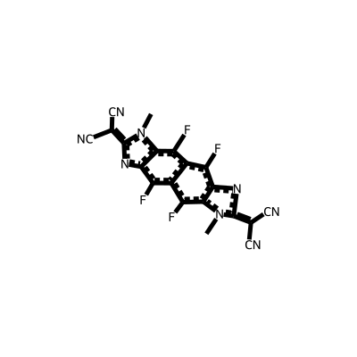 Cn1c(=C(C#N)C#N)nc2c(F)c3c(F)c4c(nc(=C(C#N)C#N)n4C)c(F)c3c(F)c21